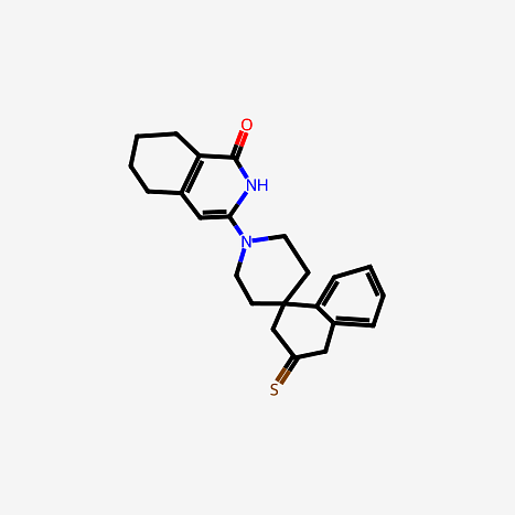 O=c1[nH]c(N2CCC3(CC2)CC(=S)Cc2ccccc23)cc2c1CCCC2